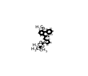 COc1cccc2c(CC3CCCN3C(=O)OC(C)(C)C)nc3ccccc3c12